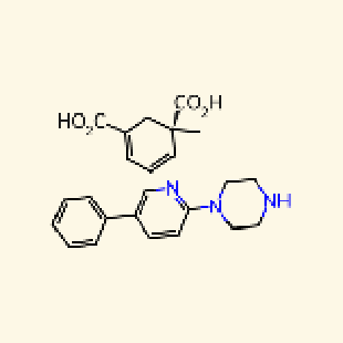 C[C@]1(C(=O)O)C=CC=C(C(=O)O)C1.c1ccc(-c2ccc(N3CCNCC3)nc2)cc1